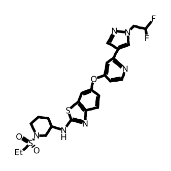 CCS(=O)(=O)N1CCCC(Nc2nc3ccc(Oc4ccnc(-c5cnn(CC(F)F)c5)c4)cc3s2)C1